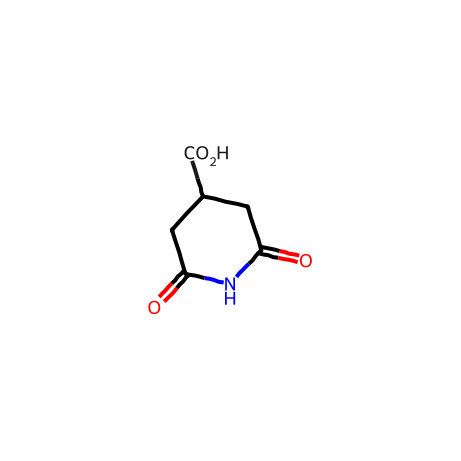 O=C1CC(C(=O)O)CC(=O)N1